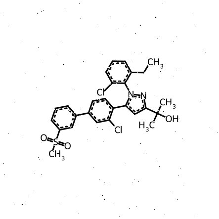 CCc1cccc(Cl)c1-n1nc(C(C)(C)O)cc1-c1ccc(-c2cccc(S(C)(=O)=O)c2)cc1Cl